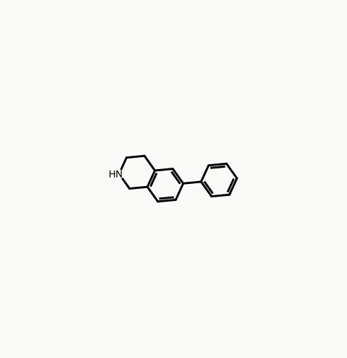 c1ccc(-c2ccc3c(c2)CCNC3)cc1